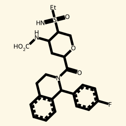 CCS(=N)(=O)C1COC(C(=O)N2CCc3ccccc3C2c2ccc(F)cc2)CC1NC(=O)O